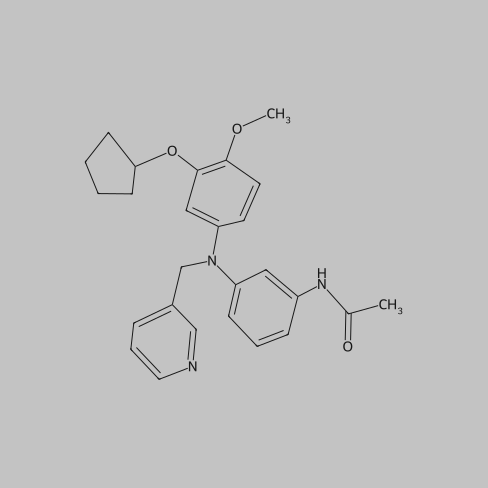 COc1ccc(N(Cc2cccnc2)c2cccc(NC(C)=O)c2)cc1OC1CCCC1